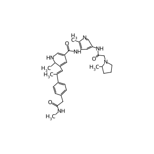 CNC(=O)Cc1ccc(/C(C)=C/C2=CC(C(=O)Nc3cc(NC(=O)CN4CCCC4C)cnc3C)=CNC2C)cc1